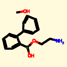 CO.NCCOB(O)c1ccccc1-c1ccccc1